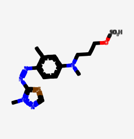 Cc1cc(N(C)CCCOS(=O)(=O)O)ccc1/N=N\c1scn[n+]1C